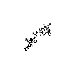 Cc1nccc(NCC(=O)N2C[C@H](F)C[C@H]2C(=O)N[C@@H](c2ccccc2)c2ccc(C3CC3c3cncc(NCC(=O)N4C[C@H](F)C[C@H]4C(=O)N[C@@H](c4ccccc4)c4ccc(C5CC5)c(F)c4)n3)c(F)c2)n1